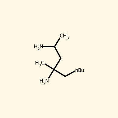 CCCCCC(C)(N)CC(C)N